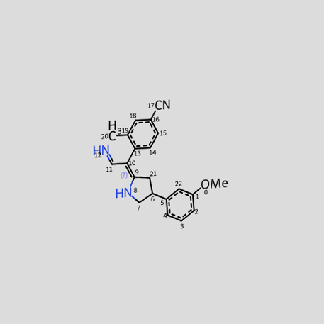 COc1cccc(C2CN/C(=C(\C=N)c3ccc(C#N)cc3C)C2)c1